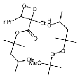 CCCC1OOC1(CC)C(=O)OC(C)(C)CC(C)O.COC(C)(C)OOC(C)(C)CC(C)O